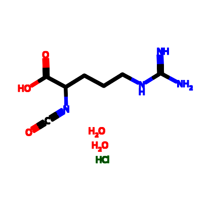 Cl.N=C(N)NCCCC(N=C=O)C(=O)O.O.O